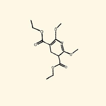 CCOC(=O)C1=C(OC)N=C(OC)C(C(=O)OCC)C1